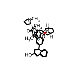 CN1C(=O)C(CC(=O)N2[C@@H]3CC[C@H]2CN(c2nc(OC[C@@H]4CCCN4C)nc4cc(-c5cc(O)cc6ccccc56)ccc24)C3)N(C)C1=O